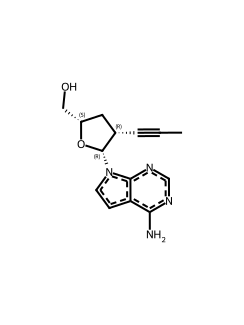 CC#C[C@H]1C[C@@H](CO)O[C@H]1n1ccc2c(N)ncnc21